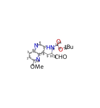 COc1ccc2nccc(CC(C=O)NC(=O)OC(C)(C)C)c2n1